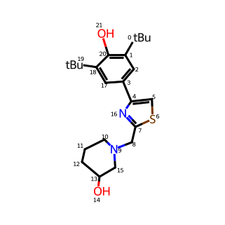 CC(C)(C)c1cc(-c2csc(CN3CCCC(O)C3)n2)cc(C(C)(C)C)c1O